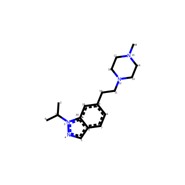 CC(C)n1ncc2ccc(CCN3CCN(C)CC3)cc21